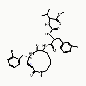 COC(=O)C(NC(=O)NC(Cc1cccc(C)c1)C(=O)NC1CCCCNC(=O)/C=C/[C@H](Cc2ccccc2F)NC1=O)C(C)C